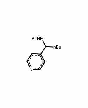 CCCCC(NC(C)=O)c1ccncc1